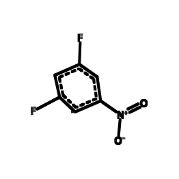 O=[N+]([O-])c1[c]c(F)cc(F)c1